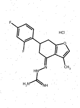 Cc1coc2c1C(=NNC(=N)N)CC(c1ccc(F)cc1F)C2.Cl